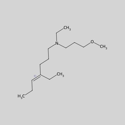 CC/C=C(\CC)CCCN(CC)CCCOC